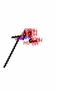 CCCCCCCCCCCCCCCCCCCCCCCC(=O)NC(CCCCCC)CO[C@@H]1OC(CO)[C@@H](O[C@@H]2OC(CO[C@@H]3C[C@@H](O)[C@@H](C)C([C@H](O)[C@H](O)CO)O3)[C@H](O)[C@H](O)C2O)[C@H](O)C1NC(C)=O